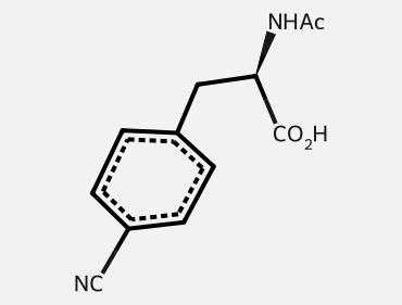 CC(=O)N[C@H](Cc1ccc(C#N)cc1)C(=O)O